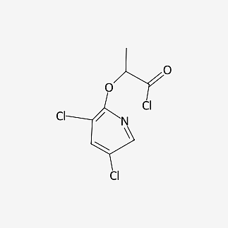 CC(Oc1ncc(Cl)cc1Cl)C(=O)Cl